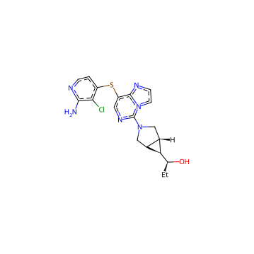 CC[C@H](O)[C@H]1C2CN(c3ncc(Sc4ccnc(N)c4Cl)c4nccn34)C[C@@H]21